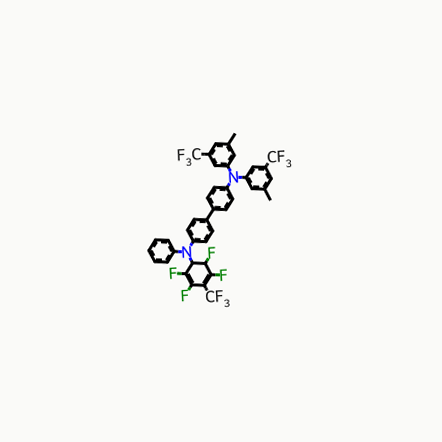 Cc1cc(N(c2ccc(-c3ccc(N(c4ccccc4)C4C(F)=C(F)C(C(F)(F)F)=C(F)C4F)cc3)cc2)c2cc(C)cc(C(F)(F)F)c2)cc(C(F)(F)F)c1